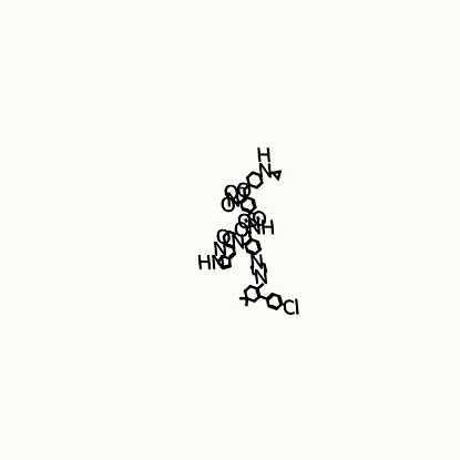 CC1(C)CCC(CN2CCN(c3ccc(C(=O)NS(=O)(=O)c4ccc(OC5CCC(NC6CC6)CC5)c([N+](=O)[O-])c4)c(N4CCOc5nc6[nH]ccc6cc54)c3)CC2)=C(c2ccc(Cl)cc2)C1